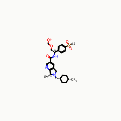 CCS(=O)(=O)c1ccc([C@H](COCO)NC(=O)c2cnc3c(c2)CN(C[C@H]2CC[C@@H](C(F)(F)F)CC2)[C@H]3C(C)C)cc1